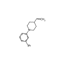 C=CC1CCN(c2cccc(C(C)C)c2)CC1